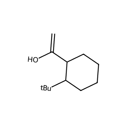 C=C(O)C1CCCCC1C(C)(C)C